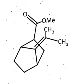 COC(=O)C1CC2CCC1C2=C(C)C